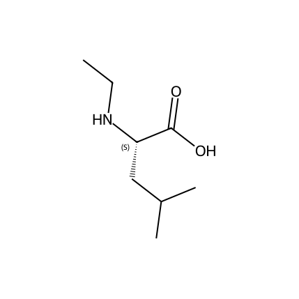 CCN[C@@H](CC(C)C)C(=O)O